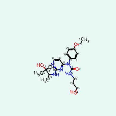 CCOc1ccc(N(C(=O)NCCCO)c2ccnc(NC(C)C(C)(C)O)n2)cc1